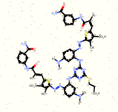 CCN(CC)c1ccc(/N=N/c2sc(/C=C(/C(C)=O)C(=O)Nc3cccc(C(N)=O)c3)c(S(=O)(=O)O)c2C#N)c(Nc2nc(Nc3cc(N(CC)CC)ccc3/N=N/c3sc(/C=C(\C(C)=O)C(=O)Nc4cccc(C(N)=O)c4)c(S(=O)(=O)O)c3C#N)nc(SCCS(=O)(=O)O)n2)c1